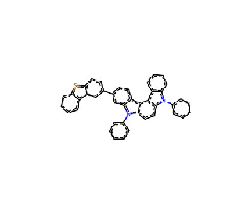 c1ccc(-n2c3ccccc3c3c4c5ccc(-c6ccc7sc8ccccc8c7c6)cc5n(-c5ccccc5)c4ccc32)cc1